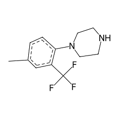 Cc1ccc(N2CCNCC2)c(C(F)(F)F)c1